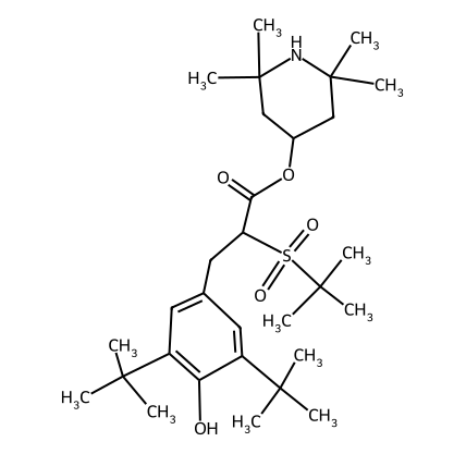 CC1(C)CC(OC(=O)C(Cc2cc(C(C)(C)C)c(O)c(C(C)(C)C)c2)S(=O)(=O)C(C)(C)C)CC(C)(C)N1